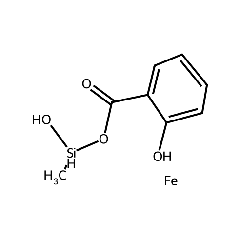 C[SiH](O)OC(=O)c1ccccc1O.[Fe]